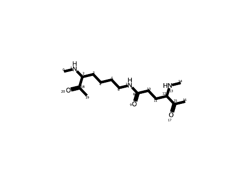 CNC(CCCCNC(=O)CCC(NC)C(C)=O)C(C)=O